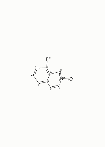 [O-][n+]1ccc2cccc(F)c2c1